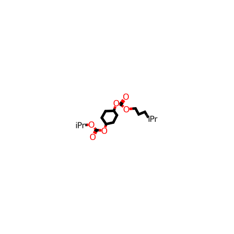 CC(C)CCCOC(=O)OC1CCC(OC(=O)OC(C)C)CC1